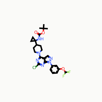 CC(C)(C)OC(=O)NC1(C2CCN(c3nc(Cl)nc4c3cnn4-c3cccc(OC(F)F)c3)CC2)CC1